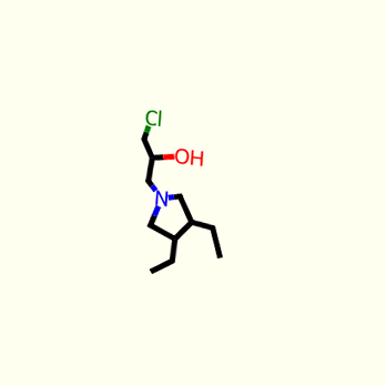 CCC1CN(CC(O)CCl)CC1CC